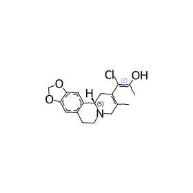 CC1=C(/C(Cl)=C(\C)O)C[C@H]2c3cc4c(cc3CCN2C1)OCO4